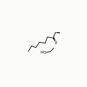 CCCCCCC(=O)CC.CCO